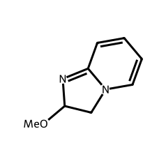 COC1CN2C=CC=CC2=N1